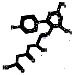 Cc1nc(C)c(/C=C/C(O)CC(=O)CC(=O)O)c(-c2ccc(F)cc2)n1